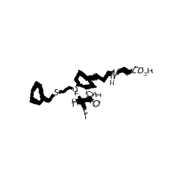 O=C(O)C(F)(F)F.O=C(O)CCNCCCc1ccc(OCCSCc2ccccc2)cc1